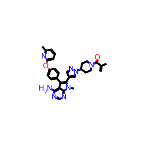 C=C(C)C(=O)N1CCC(n2cc(-c3c(-c4ccc(Oc5cccc(C)n5)cc4)c4c(N)ncnc4n3C)cn2)CC1